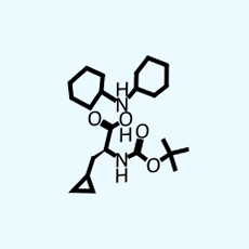 C1CCC(NC2CCCCC2)CC1.CC(C)(C)OC(=O)N[C@@H](CC1CC1)C(=O)O